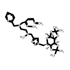 C=N/C=C\C(CN(CCN(C)Cc1cn(C[C@H]2O[C@@H]3OC(C)(C)O[C@@H]3[C@H]3OC(C)(C)O[C@H]32)nn1)Cc1ccccn1)=N/C